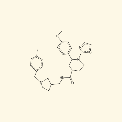 COc1ccc(C2CC(C(=O)NCC3CCN(Cc4ccc(C)cc4)C3)CCN2c2ncco2)cc1